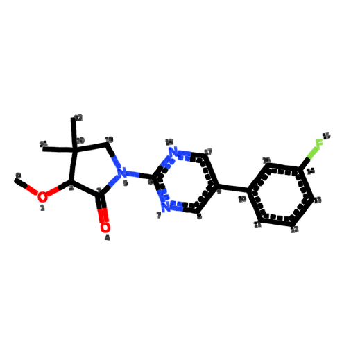 COC1C(=O)N(c2ncc(-c3cccc(F)c3)cn2)CC1(C)C